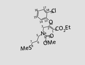 CCOC(=O)/C=C(/CN(CCCSC)C(=O)OC)Oc1ccccc1Cl